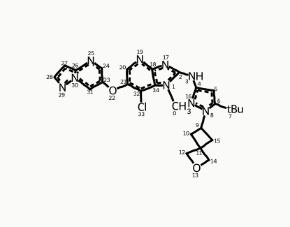 Cn1c(Nc2cc(C(C)(C)C)n(C3CC4(COC4)C3)n2)nc2ncc(Oc3cnc4ccnn4c3)c(Cl)c21